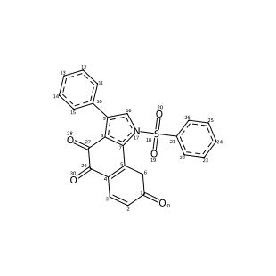 O=C1C=CC2=C(C1)c1c(c(-c3ccccc3)cn1S(=O)(=O)c1ccccc1)C(=O)C2=O